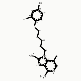 CCCCc1nc2c(N)ncc(C)c2n1CCCCCSc1ccc(F)cc1F